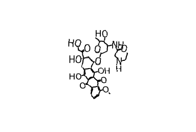 COc1cccc2c1C(=O)c1c(O)c3c(c(O)c1C2=O)C[C@@](O)(C(=O)CO)C[C@@H]3OC1CC(NC2CNCCO2)C(O)C(C)O1